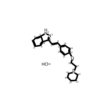 C(=Cc1n[nH]c2ccccc12)c1ccc(OCCN2CCCCC2)cc1.Cl